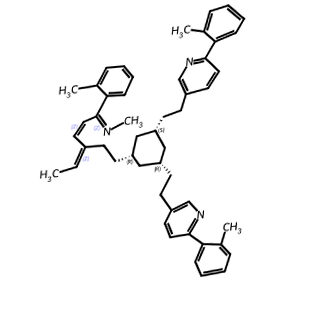 C\C=C(/C=C\C(=N\C)c1ccccc1C)CC[C@H]1C[C@@H](CCc2ccc(-c3ccccc3C)nc2)C[C@@H](CCc2ccc(-c3ccccc3C)nc2)C1